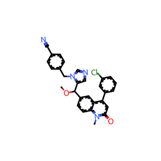 COC(c1ccc2c(c1)c(-c1cccc(Cl)c1)cc(=O)n2C)c1cncn1Cc1ccc(C#N)cc1